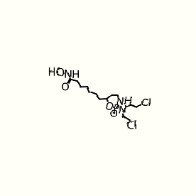 O=C(CCCCCCC1CCNP(=O)(N(CCCl)CCCl)O1)NO